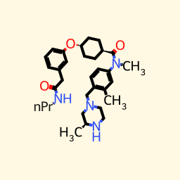 CCCNC(=O)Cc1cccc(O[C@H]2CC[C@H](C(=O)N(C)c3ccc(CN4CCN[C@@H](C)C4)c(C)c3)CC2)c1